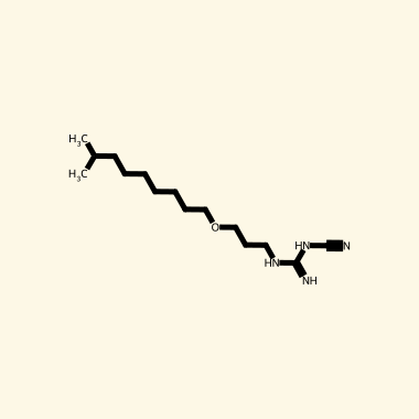 CC(C)CCCCCCCOCCCNC(=N)NC#N